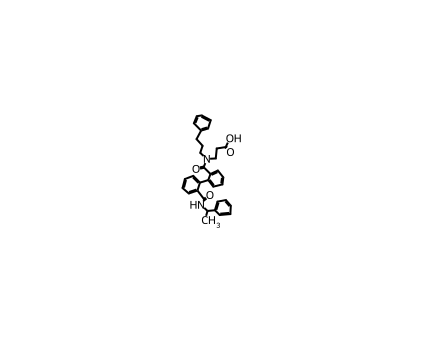 CC(NC(=O)c1ccccc1-c1ccccc1C(=O)N(CCCc1ccccc1)CCC(=O)O)c1ccccc1